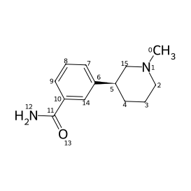 CN1CCC[C@@H](c2cccc(C(N)=O)c2)C1